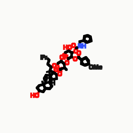 COc1ccc(C(=O)OC2C(OC3C(O)COC(O[C@H]4C[C@H]5[C@@H]6CC=C7C[C@@H](O)CC[C@]7(C)C6CC[C@]5(C)[C@@]4(O)[C@H](C)C(=O)CCC(C)C)C3C)OCC(O)C2OC(=O)NCc2ccccc2)cc1